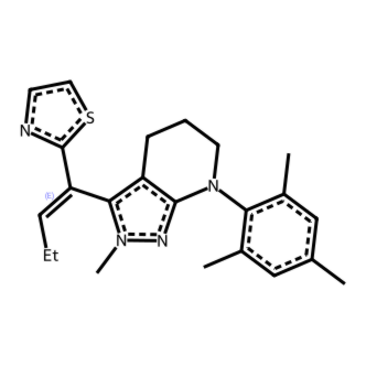 CC/C=C(/c1nccs1)c1c2c(nn1C)N(c1c(C)cc(C)cc1C)CCC2